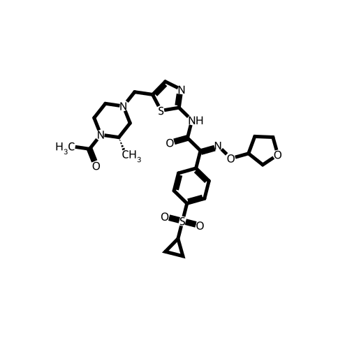 CC(=O)N1CCN(Cc2cnc(NC(=O)/C(=N/OC3CCOC3)c3ccc(S(=O)(=O)C4CC4)cc3)s2)C[C@@H]1C